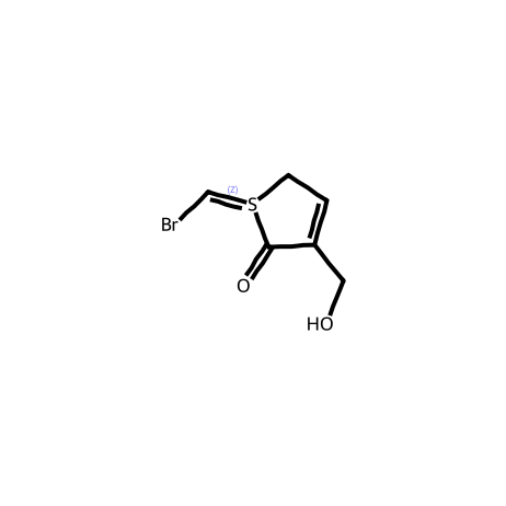 O=C1C(CO)=CC/S1=C/Br